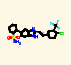 NS(=O)(=O)c1ccccc1-c1ccc2[nH]c(/C=C/c3ccc(Cl)c(C(F)(F)F)c3)nc2c1